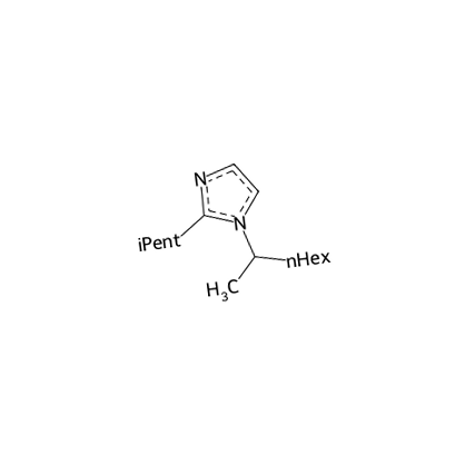 CCCCCCC(C)n1ccnc1C(C)CCC